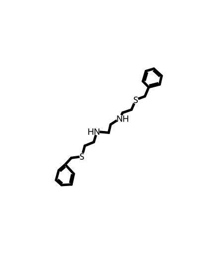 c1ccc(CSCCNCCNCCSCc2ccccc2)cc1